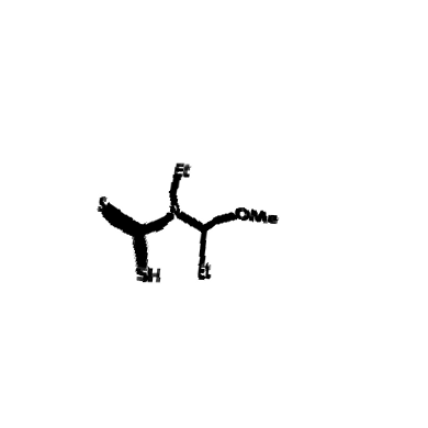 CCC(OC)N(CC)C(=S)S